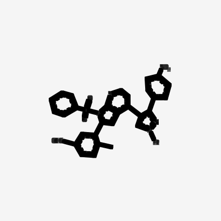 CCn1cc(-c2ccnc3c2cc(-c2cc(C=O)ccc2C)n3S(=O)(=O)c2ccccc2)c(-c2ccc([N+](=O)[O-])cc2)n1